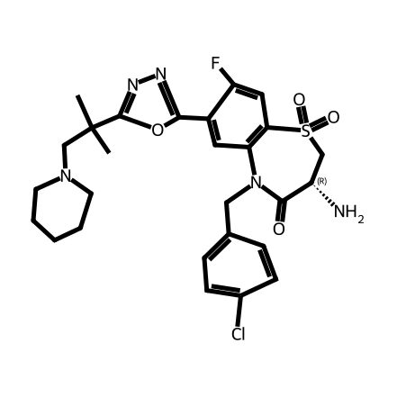 CC(C)(CN1CCCCC1)c1nnc(-c2cc3c(cc2F)S(=O)(=O)C[C@H](N)C(=O)N3Cc2ccc(Cl)cc2)o1